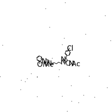 COc1ccccc1N1CCN(CCCCCn2nc(-c3ccc(Cl)cc3)c3c2CCN(C(C)=O)C3)CC1